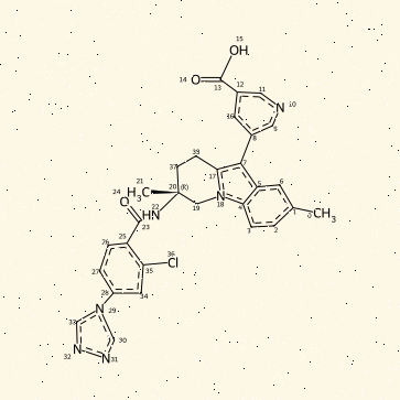 Cc1ccc2c(c1)c(-c1cncc(C(=O)O)c1)c1n2C[C@](C)(NC(=O)c2ccc(-n3cnnc3)cc2Cl)CC1